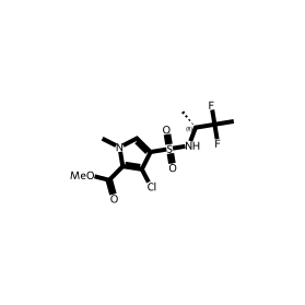 COC(=O)c1c(Cl)c(S(=O)(=O)N[C@H](C)C(C)(F)F)cn1C